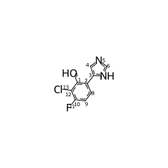 Oc1c(-c2cnc[nH]2)ccc(F)c1Cl